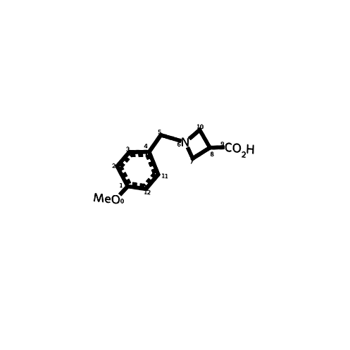 COc1ccc(CN2CC(C(=O)O)C2)cc1